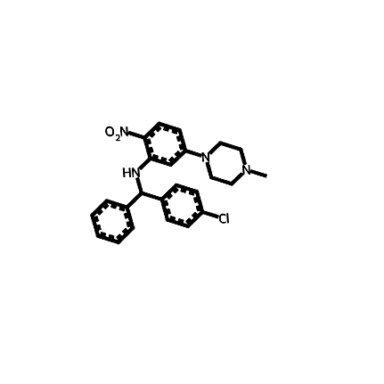 CN1CCN(c2ccc([N+](=O)[O-])c(NC(c3ccccc3)c3ccc(Cl)cc3)c2)CC1